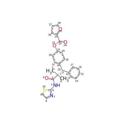 CC(C)(C(=O)Nc1nccs1)[C@@H](c1ccccc1)c1ccc(OC(=O)c2ccco2)cc1